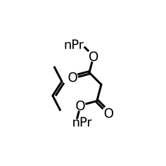 CC=CC.CCCOC(=O)CC(=O)OCCC